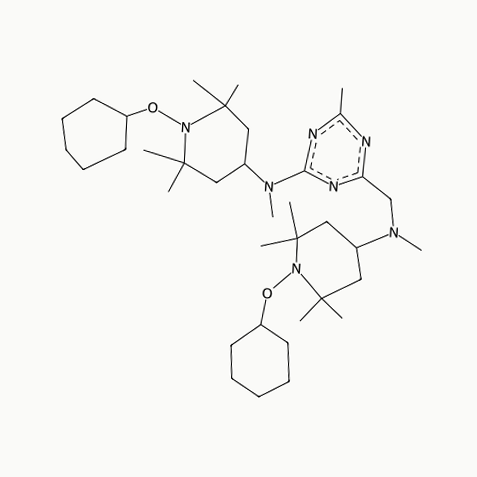 Cc1nc(CN(C)C2CC(C)(C)N(OC3CCCCC3)C(C)(C)C2)nc(N(C)C2CC(C)(C)N(OC3CCCCC3)C(C)(C)C2)n1